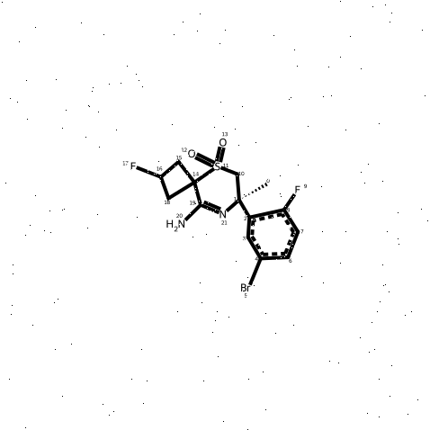 C[C@@]1(c2cc(Br)ccc2F)CS(=O)(=O)C2(CC(F)C2)C(N)=N1